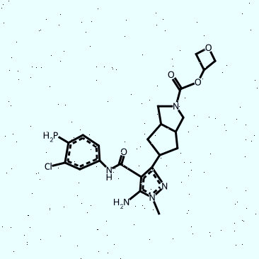 Cn1nc(C2CC3CN(C(=O)OC4COC4)CC3C2)c(C(=O)Nc2ccc(P)c(Cl)c2)c1N